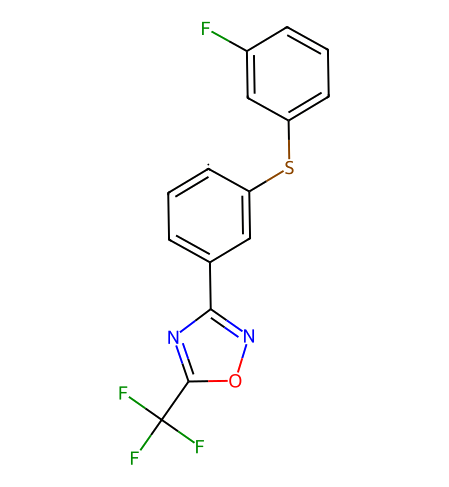 Fc1cccc(Sc2[c]ccc(-c3noc(C(F)(F)F)n3)c2)c1